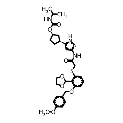 COc1ccc(COc2cccc(SCC(=O)Nc3cc([C@H]4CC[C@@H](OC(=O)NC(C)C)C4)[nH]n3)c2C2OCCO2)cc1